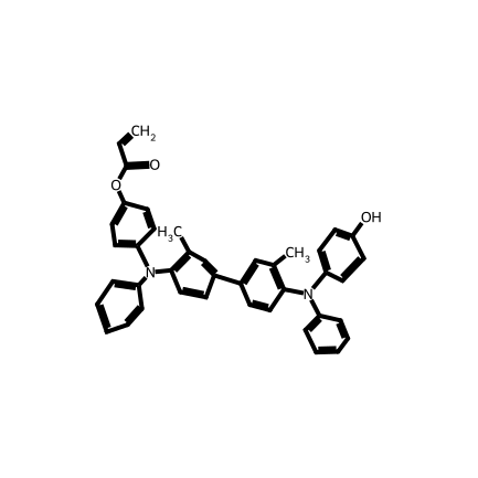 C=CC(=O)Oc1ccc(N(c2ccccc2)c2ccc(-c3ccc(N(c4ccccc4)c4ccc(O)cc4)c(C)c3)cc2C)cc1